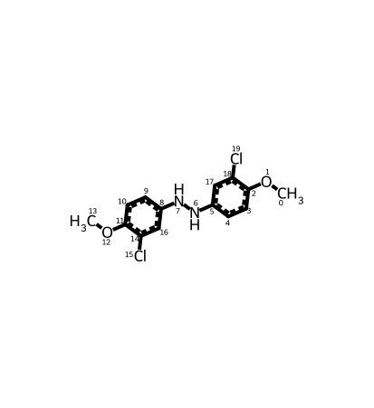 COc1ccc(NNc2ccc(OC)c(Cl)c2)cc1Cl